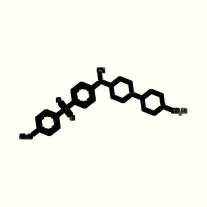 CCOC(=O)N1CCC(N2CCC(N(C#N)c3ccc(S(=O)(=O)c4ccc(OC)cc4)cc3)CC2)CC1